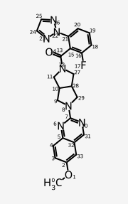 COc1ccc2nc(N3CC4CN(C(=O)c5c(F)cccc5-n5nccn5)CC4C3)ncc2c1